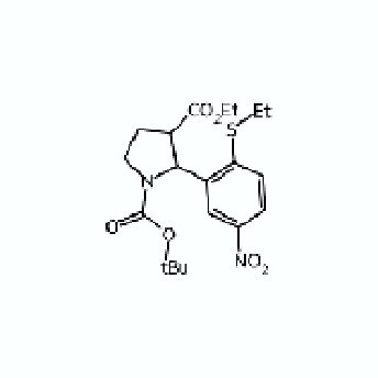 CCOC(=O)C1CCN(C(=O)OC(C)(C)C)C1c1cc([N+](=O)[O-])ccc1SCC